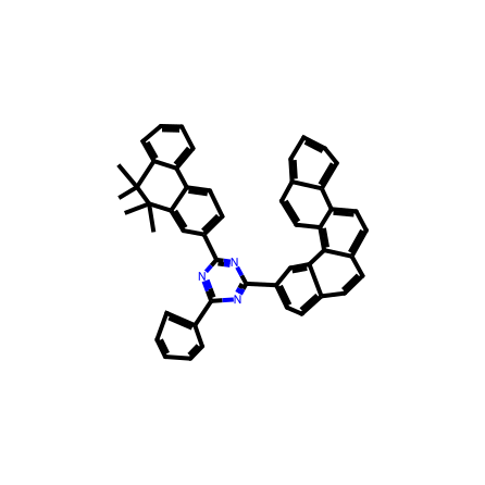 CC1(C)c2ccccc2-c2ccc(-c3nc(-c4ccccc4)nc(-c4ccc5ccc6ccc7c8ccccc8ccc7c6c5c4)n3)cc2C1(C)C